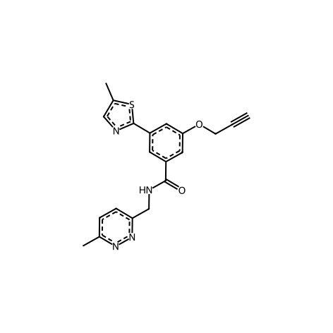 C#CCOc1cc(C(=O)NCc2ccc(C)nn2)cc(-c2ncc(C)s2)c1